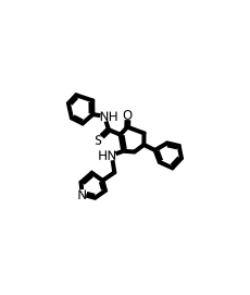 O=C1CC(c2ccccc2)CC(NCc2ccncc2)=C1C(=S)Nc1ccccc1